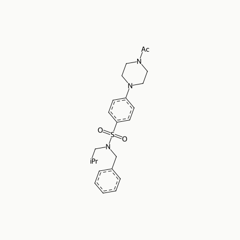 CC(=O)N1CCN(c2ccc(S(=O)(=O)N(Cc3ccccc3)CC(C)C)cc2)CC1